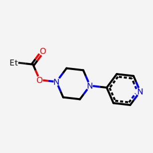 CCC(=O)ON1CCN(c2ccncc2)CC1